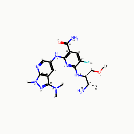 CCOC[C@@H](Nc1nc(Nc2cnc3c(c2)c(N(C)C)nn3C)c(C(N)=O)cc1F)[C@H](C)N